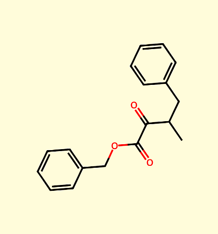 CC(Cc1ccccc1)C(=O)C(=O)OCc1ccccc1